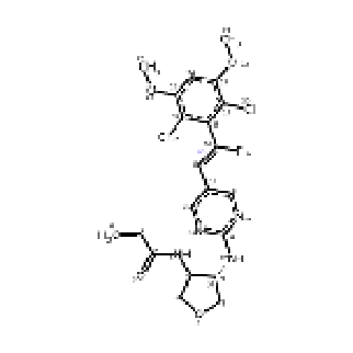 C=CC(=O)NC1COC[C@H]1Nc1ncc(/C=C(\F)c2c(Cl)c(OC)cc(OC)c2Cl)cn1